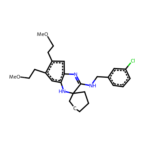 COCCc1cc2c(cc1CCOC)NC1(CCCCC1)C(NCc1cccc(Cl)c1)=N2